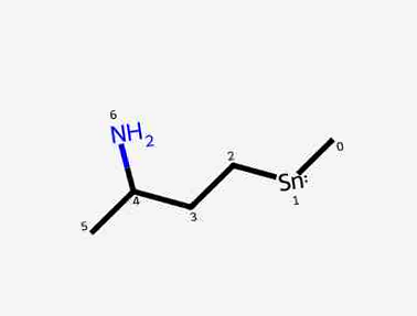 [CH3][Sn][CH2]CC(C)N